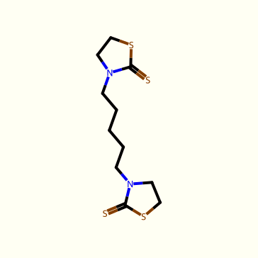 S=C1SCCN1CCCCCN1CCSC1=S